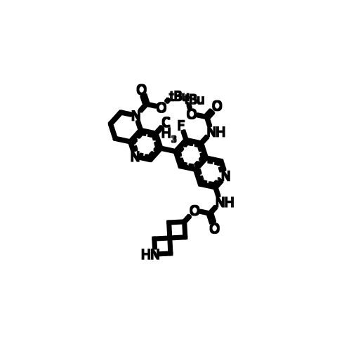 Cc1c(-c2cc3cc(NC(=O)OC4CC5(CNC5)C4)ncc3c(NC(=O)OC(C)(C)C)c2F)cnc2c1N(C(=O)OC(C)(C)C)CCC2